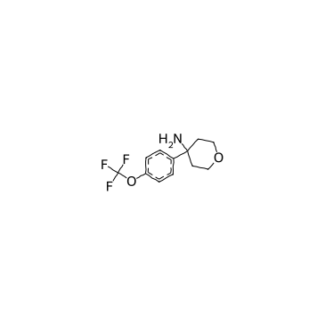 NC1(c2ccc(OC(F)(F)F)cc2)CCOCC1